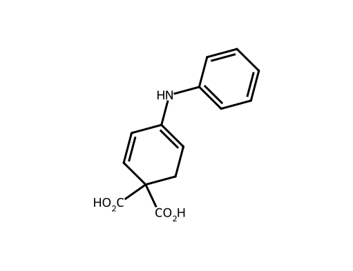 O=C(O)C1(C(=O)O)C=CC(Nc2ccccc2)=CC1